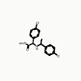 COC(=O)C(NC(C)c1ccc(Cl)cc1)c1ccc(Cl)cc1